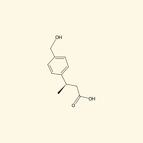 C[C@H](CC(=O)O)c1ccc(CO)cc1